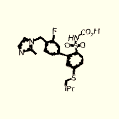 Cc1nccn1Cc1ccc(-c2cc(SCC(C)C)ccc2S(=O)(=O)NC(=O)O)cc1F